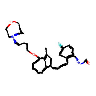 Cc1cc(/C=C\c2cc(F)ccc2NC=O)c2ccccc(OCCCN3CCOCC3)c1-2